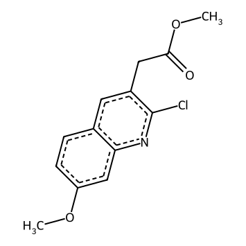 COC(=O)Cc1cc2ccc(OC)cc2nc1Cl